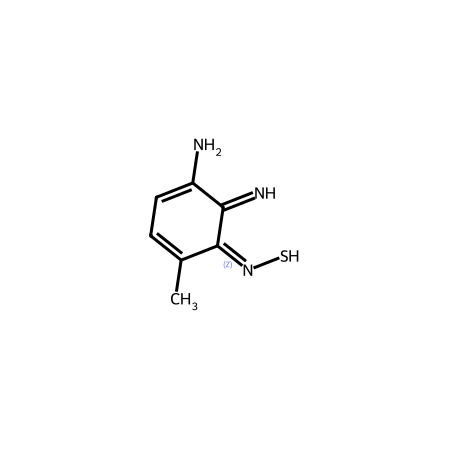 CC1=CC=C(N)C(=N)/C1=N\S